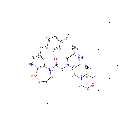 C[C@@H]1CN(CC(=O)N2CCCOc3ncc(Cc4ccc(F)cc4)cc32)[C@@H](CN2CCOC[C@H]2C)CN1